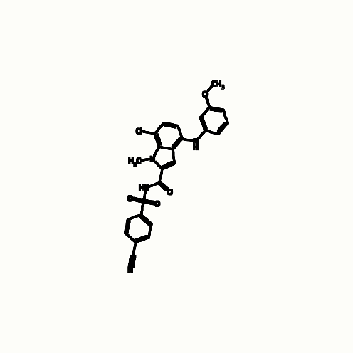 COc1cccc(Nc2ccc(Cl)c3c2cc(C(=O)NS(=O)(=O)c2ccc(C#N)cc2)n3C)c1